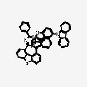 C1=Cc2c(n(-c3ccc4oc5ccc(-c6cccc7sc8cccc(-c9nc(-c%10ccccc%10)nc(-c%10ccccc%10)n9)c8c67)cc5c4c3)c3ccccc23)CC1